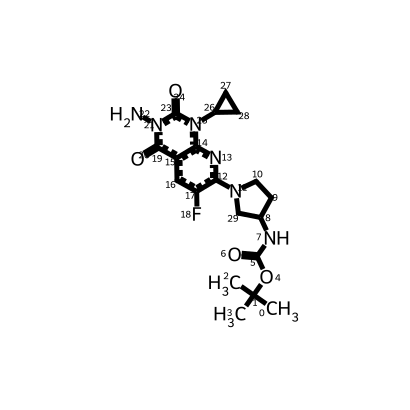 CC(C)(C)OC(=O)NC1CCN(c2nc3c(cc2F)c(=O)n(N)c(=O)n3C2CC2)C1